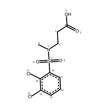 CN(CCC(=O)O)S(=O)(=O)c1cccc(Cl)c1Cl